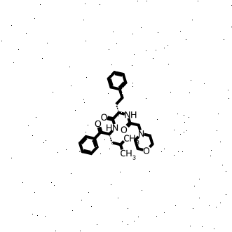 CC(C)C[C@@H](NC(=O)[C@H](CCc1ccccc1)NC(=O)CN1CCOCC1)C(=O)c1cc[c]cc1